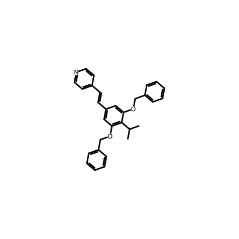 CC(C)c1c(OCc2ccccc2)cc(C=Cc2ccncc2)cc1OCc1ccccc1